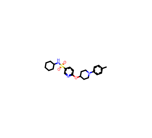 Cc1ccc(N2CCC(Oc3ccc(S(=O)(=O)NC4CCCCC4)cn3)CC2)cc1